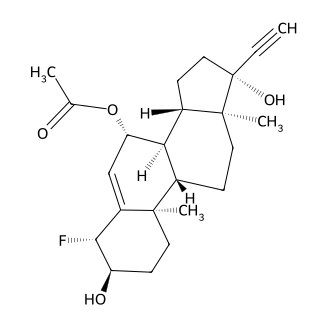 C#C[C@]1(O)CC[C@H]2[C@@H]3[C@@H](OC(C)=O)C=C4[C@@H](F)[C@H](O)CC[C@]4(C)[C@H]3CC[C@@]21C